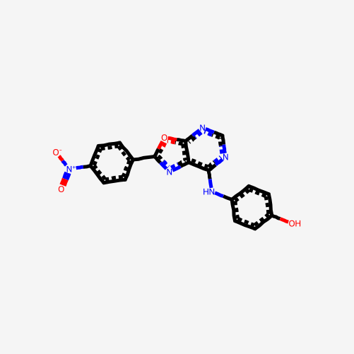 O=[N+]([O-])c1ccc(-c2nc3c(Nc4ccc(O)cc4)ncnc3o2)cc1